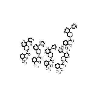 CC1c2ncnc(-c3ccn[nH]3)c2CCN1C(=O)c1cccc(C(F)(F)F)c1Cl.O=C(c1cccc(C(F)(F)F)c1Cl)N1CCc2c(ncnc2-n2cncn2)C1.O=C(c1cccc(C(F)(F)F)c1Cl)N1CCc2c(ncnc2-n2cnnc2)C1.O=C(c1cccc(C(F)(F)F)c1Cl)N1CCc2c(ncnc2-n2nccn2)C1.O=C(c1cccc(C(F)(F)F)c1F)N1CCc2c(ncnc2-c2ccn[nH]2)C1